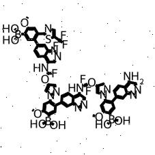 COc1cc(-c2ncc(C(F)(F)F)s2)c(-c2ccc3c(NC(F)Oc4cnn(-c5cc(OC)c(B(O)O)cc5-c5ccc6c(NC(F)(F)Oc7cnn(-c8cc(OC)c(B(O)O)cc8-c8ccc9c(N)cnnc9c8)c7)cnnc6c5)c4)cnnc3c2)cc1B(O)O